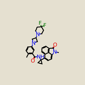 Cc1ccc(N2CC(N3CCC(F)(F)CC3)C2)cc1C(=O)NC1(c2ccc3c4c(cccc24)C(=O)N3C)CC1